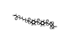 C=CC(=O)OCCCCOC(=O)Oc1ccc(C(=O)Oc2ccc(C(=O)O[C@@H]3COC4C3OC[C@H]4C)cc2)cc1